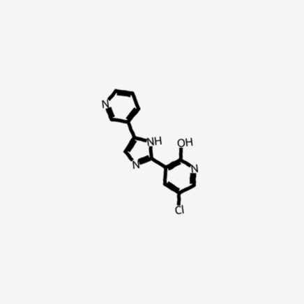 Oc1ncc(Cl)cc1-c1ncc(-c2cccnc2)[nH]1